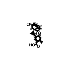 O=C(O)c1cc(C2CC2)c(O[C@H]2C3CC4CC2C[C@](Cl)(C4)C3)cc1F